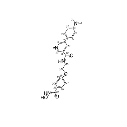 CN(C)c1ccc(-c2cncc(C(=O)NCCOc3ccc(C(=O)NO)cc3)c2)cc1